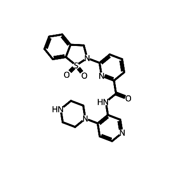 O=C(Nc1cnccc1N1CCNCC1)c1cccc(N2Cc3ccccc3S2(=O)=O)n1